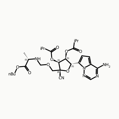 CCCCOC(=O)[C@H](C)NCOC[C@@]1(C#N)O[C@@H](c2ccc3c(N)ncnn23)[C@H](OC(=O)C(C)C)[C@@H]1OC(=O)C(C)C